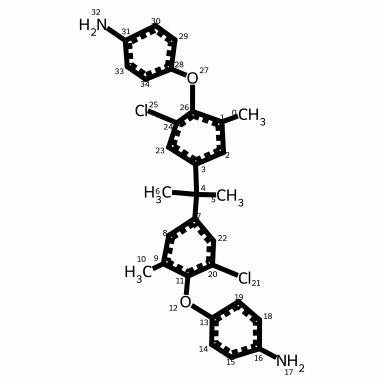 Cc1cc(C(C)(C)c2cc(C)c(Oc3ccc(N)cc3)c(Cl)c2)cc(Cl)c1Oc1ccc(N)cc1